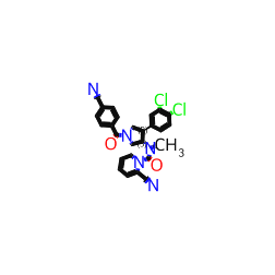 CN(C(=O)N1CC=CC=C1C#N)[C@@H]1CN(C(=O)c2ccc(C#N)cc2)C[C@H]1c1ccc(Cl)c(Cl)c1